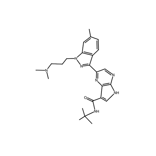 Cc1ccc2c(-c3cnc4[nH]cc(C(=O)NC(C)(C)C)c4n3)nn(CCCN(C)C)c2c1